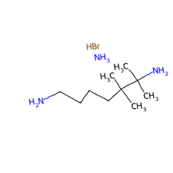 Br.CC(C)(N)C(C)(C)CCCCN.N